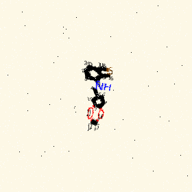 c1cc(NCc2ccc3c(c2)OCCO3)c2cscc2c1